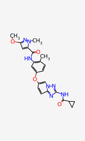 COc1cc(C(=O)Nc2cc(Oc3ccc4nc(NC(=O)C5CC5)nn4c3)ccc2C)n(C)n1